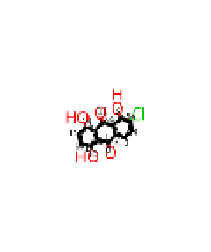 O=C1c2ccc(Cl)c(O)c2C(=O)c2c(O)ccc(O)c21